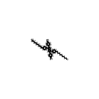 CCCCCCCCCCc1ccc(-n2c(-c3ccc(F)cc3)cc3c2cc(-c2ccc(F)cc2)n3-c2ccc(CCCCCCCCCC)cc2)cc1